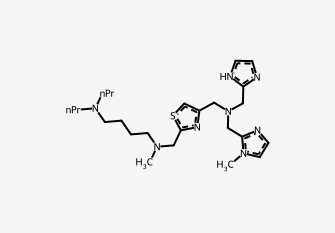 CCCN(CCC)CCCCN(C)Cc1nc(CN(Cc2ncc[nH]2)Cc2nccn2C)cs1